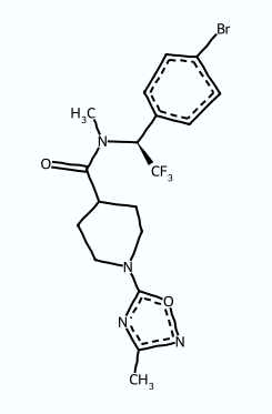 Cc1noc(N2CCC(C(=O)N(C)[C@@H](c3ccc(Br)cc3)C(F)(F)F)CC2)n1